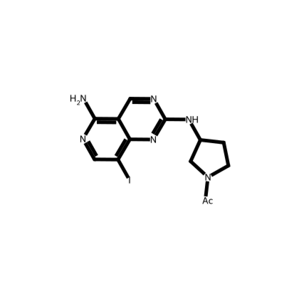 CC(=O)N1CCC(Nc2ncc3c(N)ncc(I)c3n2)C1